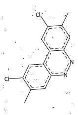 Cc1cc2nnc3cc(C)c(Cl)cc3c2cc1Cl